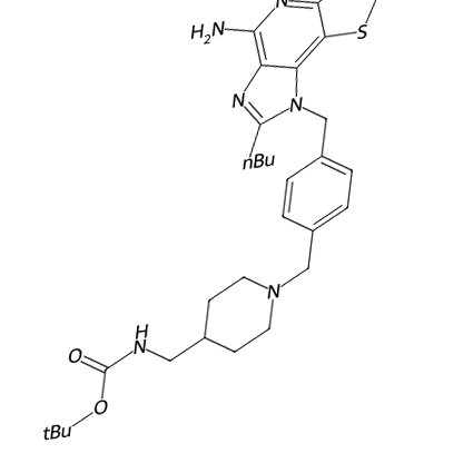 CCCCc1nc2c(N)nc3ccsc3c2n1Cc1ccc(CN2CCC(CNC(=O)OC(C)(C)C)CC2)cc1